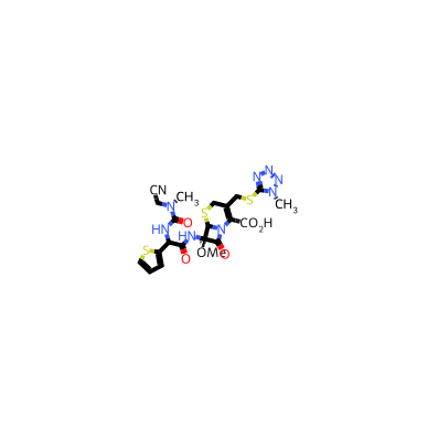 CO[C@]1(NC(=O)C(NC(=O)N(C)CC#N)c2cccs2)C(=O)N2C(C(=O)O)=C(CSc3nnnn3C)CSC21